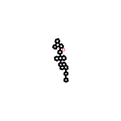 c1ccc(-c2ccc(-c3ccc4ccc5c(-c6c7ccccc7c(-c7ccc8c(c7)oc7ccc9c%10ccccc%10c%10ccccc%10c9c78)c7ccccc67)ccc6ccc3c4c65)cc2)cc1